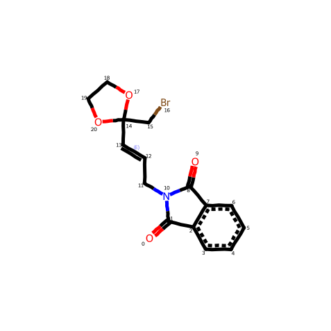 O=C1c2ccccc2C(=O)N1C/C=C/C1(CBr)OCCO1